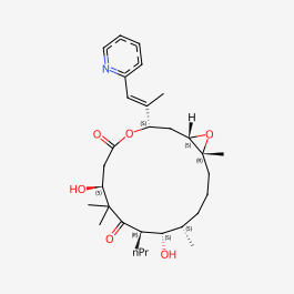 CCC[C@H]1C(=O)C(C)(C)[C@@H](O)CC(=O)O[C@H](C(C)=Cc2ccccn2)C[C@@H]2O[C@]2(C)CCC[C@H](C)[C@@H]1O